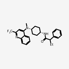 CCC(C(=O)N[C@H]1CC[C@@H](N(C)c2cc(C(F)(F)F)nc3ccccc23)CC1)c1ccccc1